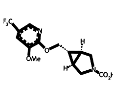 COc1cc(C(F)(F)F)cnc1OC[C@@H]1[C@H]2CN(C(=O)O)C[C@@H]12